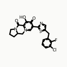 O=C1c2c(O)c(=O)c(-c3ncc(Cc4cccc(Cl)c4F)s3)cn2CC2CCCN12